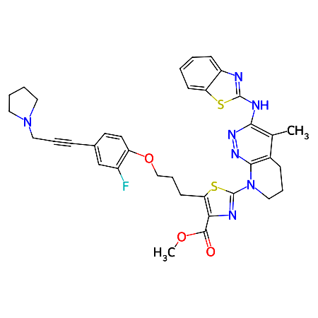 COC(=O)c1nc(N2CCCc3c2nnc(Nc2nc4ccccc4s2)c3C)sc1CCCOc1ccc(C#CCN2CCCC2)cc1F